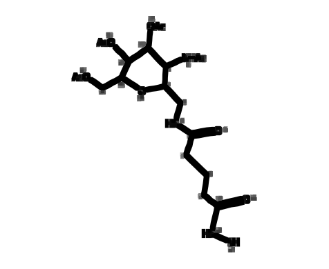 CC(=O)NC1C(CNC(=O)CCCC(=O)NS)OC(COC(C)=O)C(OC(C)=O)C1OC(C)=O